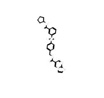 O=C(NCc1ccc(S(=O)(=O)c2cccc(C(=O)NC3CCCC3)c2)cc1)c1cnc2nccn2c1